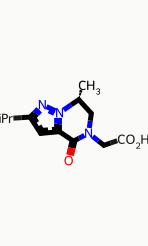 CC(C)c1cc2n(n1)[C@H](C)CN(CC(=O)O)C2=O